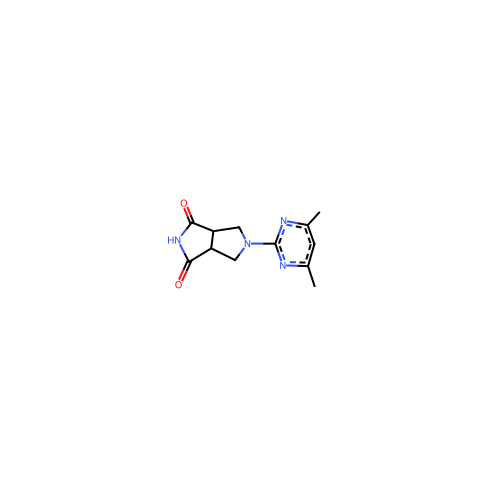 Cc1cc(C)nc(N2CC3C(=O)NC(=O)C3C2)n1